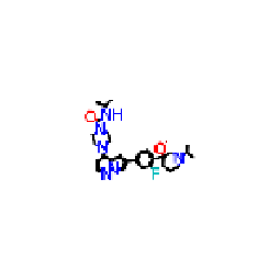 COC1(c2ccc(-c3cc4c(N5CCN(C(=O)NC(C)C)CC5)ccnn4c3)cc2F)CCCN(C(C)C)C1